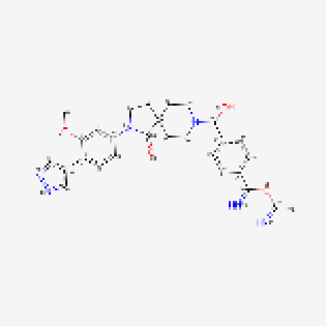 COc1cc(N2CCC3(CCN(C(O)c4ccc(C(=N)OC(C)=N)cc4)CC3)C2=O)ccc1-c1cn[nH]c1